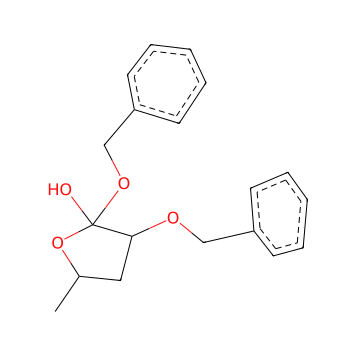 CC1CC(OCc2ccccc2)C(O)(OCc2ccccc2)O1